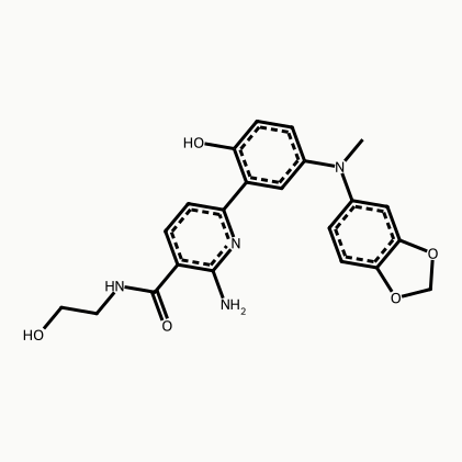 CN(c1ccc2c(c1)OCO2)c1ccc(O)c(-c2ccc(C(=O)NCCO)c(N)n2)c1